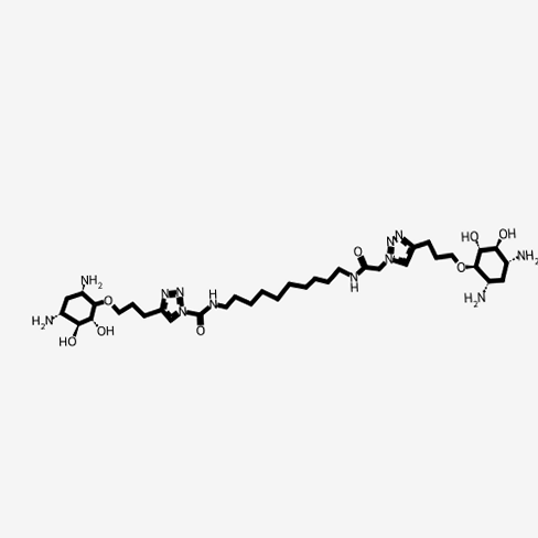 N[C@@H]1C[C@H](N)[C@@H](OCCCc2cn(CC(=O)NCCCCCCCCCCNC(=O)n3cc(CCCOC4[C@@H](N)C[C@@H](N)[C@H](O)[C@H]4O)nn3)nn2)[C@H](O)[C@H]1O